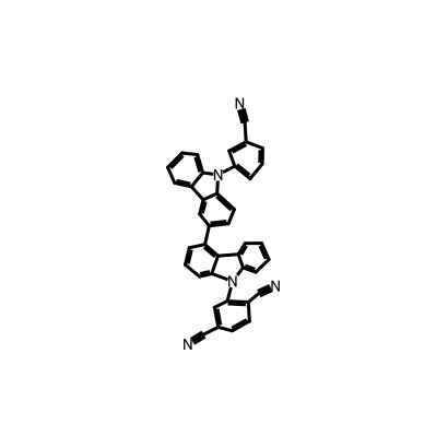 N#Cc1cccc(-n2c3ccccc3c3cc(-c4cccc5c4c4ccccc4n5-c4cc(C#N)ccc4C#N)ccc32)c1